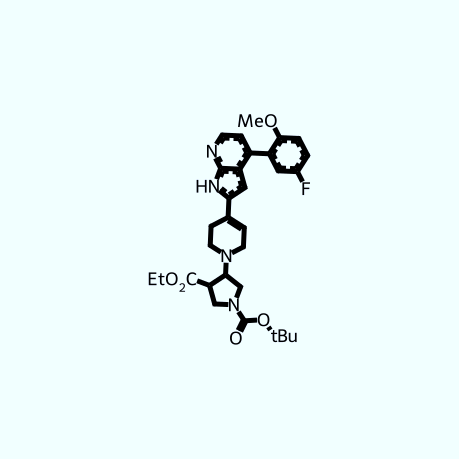 CCOC(=O)C1CN(C(=O)OC(C)(C)C)CC1N1CC=C(c2cc3c(-c4cc(F)ccc4OC)ccnc3[nH]2)CC1